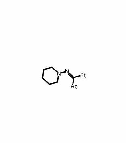 CCC(=NN1CCCCC1)C(C)=O